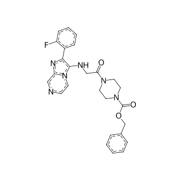 O=C(CNc1c(-c2ccccc2F)nc2cnccn12)N1CCN(C(=O)OCc2ccccc2)CC1